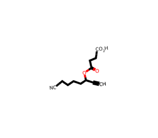 C#CC(CCCCC#N)OC(=O)CCC(=O)O